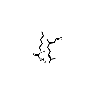 CC(C)=CCCC(C)=CC=O.CCCCCNC(N)=S